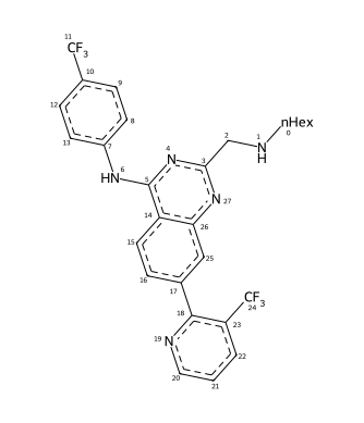 CCCCCCNCc1nc(Nc2ccc(C(F)(F)F)cc2)c2ccc(-c3ncccc3C(F)(F)F)cc2n1